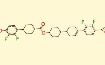 O=C(OC1CCC(C2CC=C(c3ccc(C4CO4)c(F)c3F)CC2)CC1)C1CCC(c2ccc(O)c(F)c2F)CC1